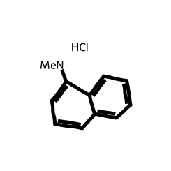 CNc1cccc2ccccc12.Cl